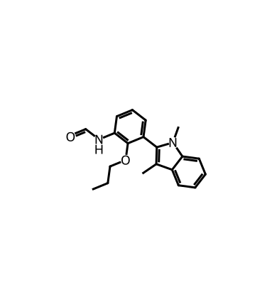 CCCOc1c(NC=O)cccc1-c1c(C)c2ccccc2n1C